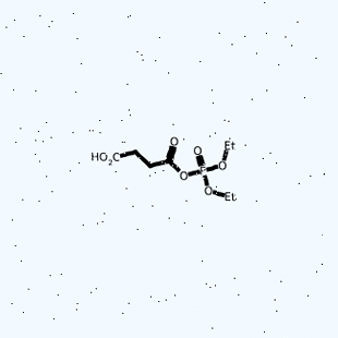 CCOP(=O)(OCC)OC(=O)CCC(=O)O